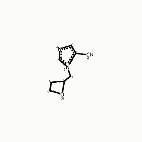 N#Cc1cncn1CC1CCO1